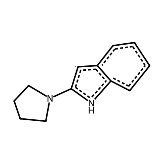 [c]1c(N2CCCC2)[nH]c2ccccc12